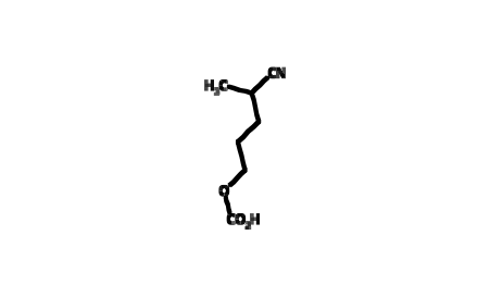 CC(C#N)CCCOC(=O)O